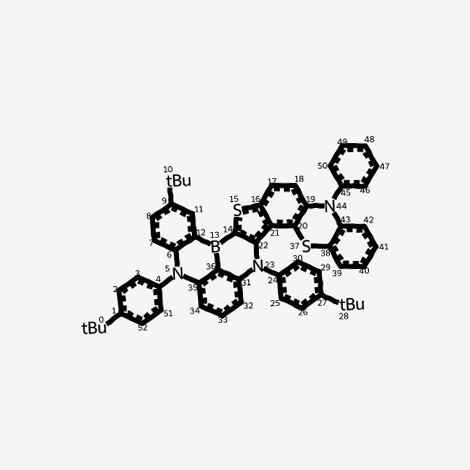 CC(C)(C)c1ccc(N2c3ccc(C(C)(C)C)cc3B3c4sc5ccc6c(c5c4N(c4ccc(C(C)(C)C)cc4)c4cccc2c43)Sc2ccccc2N6c2ccccc2)cc1